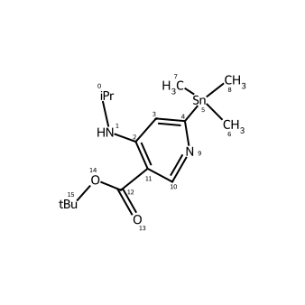 CC(C)Nc1c[c]([Sn]([CH3])([CH3])[CH3])ncc1C(=O)OC(C)(C)C